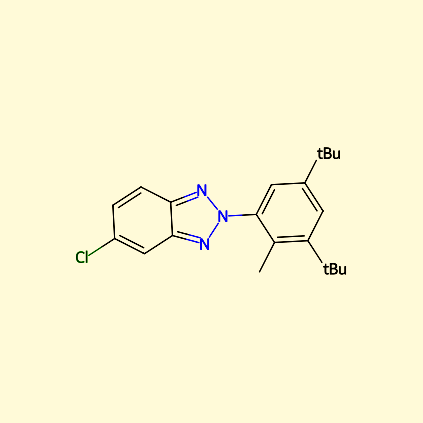 Cc1c(-n2nc3ccc(Cl)cc3n2)cc(C(C)(C)C)cc1C(C)(C)C